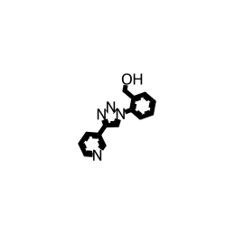 OCc1ccccc1-n1cc(-c2cccnc2)nn1